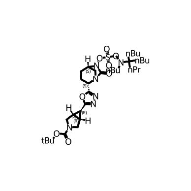 CCCCN(OS(=O)(=O)ON1C(=O)N2C[C@@H]1CC[C@H]2c1nnc([C@H]2[C@@H]3CN(C(=O)OC(C)(C)C)C[C@@H]32)o1)C(CCC)(CCCC)CCCC